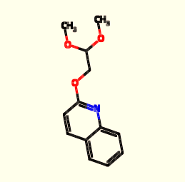 COC(COc1ccc2ccccc2n1)OC